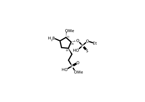 BC1C[C@H](CCP(=O)(O)OC)[C@@H](OP(O)(=S)OCC)[C@H]1OC